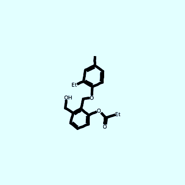 CCC(=O)Oc1cccc(CO)c1COc1ccc(C)cc1CC